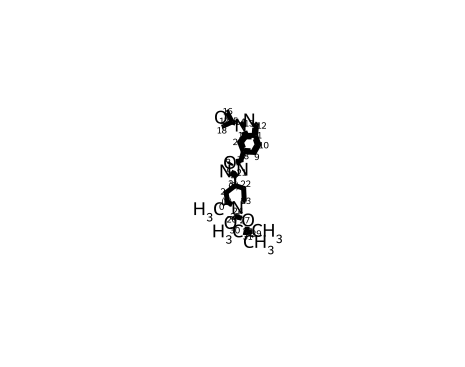 C[C@@H]1C[C@@H](c2noc(-c3ccc4cnn(C5COC5)c4c3)n2)CCN1C(=O)OC(C)(C)C